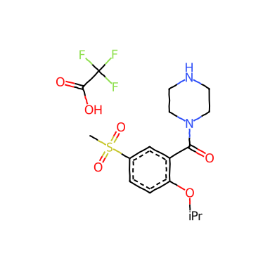 CC(C)Oc1ccc(S(C)(=O)=O)cc1C(=O)N1CCNCC1.O=C(O)C(F)(F)F